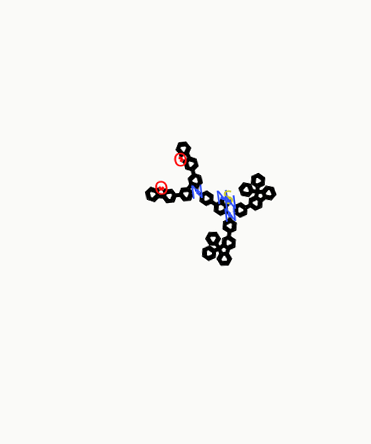 c1ccc(C2(c3ccccc3)c3ccccc3-c3ccc(-c4ccc(N(c5ccc(-c6ccc7c(c6)C(c6ccccc6)(c6ccccc6)c6ccccc6-7)cc5)c5ccc(-c6ccc(-n7c8ccc(-c9ccc%10c(c9)oc9ccccc9%10)cc8c8cc(-c9ccc%10c(c9)oc9ccccc9%10)ccc87)cc6)c6nsnc56)cc4)cc32)cc1